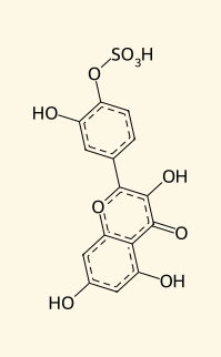 O=c1c(O)c(-c2ccc(OS(=O)(=O)O)c(O)c2)oc2cc(O)cc(O)c12